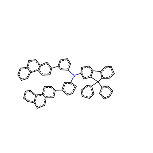 c1ccc(C2(c3ccccc3)c3ccccc3-c3ccc(N(c4cccc(-c5ccc6c(ccc7ccccc76)c5)c4)c4cccc(-c5ccc6c(ccc7ccccc76)c5)c4)cc32)cc1